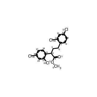 COC(=O)C(CCc1ccc(Cl)cc1Cl)c1ccc(Cl)cc1Cl